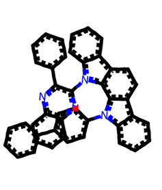 c1ccc(-c2ccc(-n3c4ccccc4c4ccc5c6ccccc6n(-c6nc7ccccc7nc6-c6ccccc6)c5c43)cc2)cc1